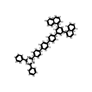 c1ccc(-c2nc(-c3ccccc3)nc(-c3ccc(-c4ccc(-c5ccc(-c6cc(-c7cccc8ccccc78)cc(-c7cccc8ccccc78)c6)cc5)cc4)cc3)n2)cc1